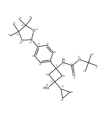 CC(C)(C)OC(=O)NC1(c2ccc(B3OC(C)(C)C(C)(C)O3)cc2)CC(O)(C2CC2)C1